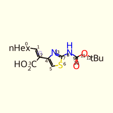 CCCCCC/C=C(\C(=O)O)c1csc(NC(=O)OC(C)(C)C)n1